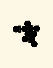 c1ccc(-c2nc(-c3ccccc3)nc(-c3ccccc3-c3ccc(-c4nc(-c5ccccc5)nc(-c5ccccc5)n4)c(-c4cccc(-c5nc6ccccc6o5)c4)c3)n2)cc1